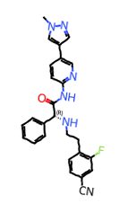 Cn1cc(-c2ccc(NC(=O)[C@H](NCCc3ccc(C#N)cc3F)c3ccccc3)nc2)cn1